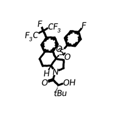 CC(C)(C)[C@@H](O)C(=O)N1CC[C@@]2(S(=O)(=O)c3ccc(F)cc3)c3ccc(C(F)(C(F)(F)F)C(F)(F)F)cc3CC[C@@H]12